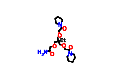 CCC(COCC(N)=O)(COCC(=O)N1CCCCC1)COCC(=O)N1CCCCC1